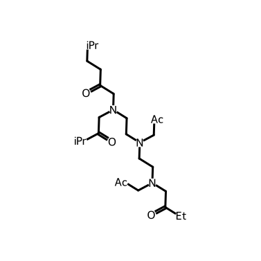 CCC(=O)CN(CCN(CCN(CC(=O)CCC(C)C)CC(=O)C(C)C)CC(C)=O)CC(C)=O